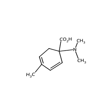 CC1=CCC(C(=O)O)(N(C)C)C=C1